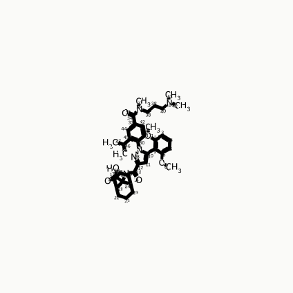 COc1cccc(OC)c1-c1cc(C(=O)NC2(C(=O)O)C3CCCC2CCC3)nn1-c1ccc(C(=O)N(C)CCCN(C)C)cc1C(C)C